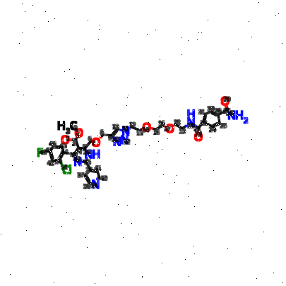 COC(=O)C1=C(COCc2cn(CCOCCOCCNC(=O)c3ccc(C(N)=O)cc3)nn2)NC(c2ccncc2)=NC1c1ccc(F)cc1Cl